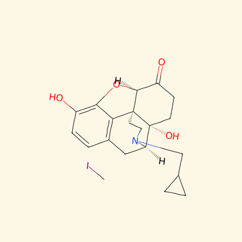 CI.O=C1CC[C@@]2(O)[C@H]3Cc4ccc(O)c5c4[C@@]2(CCN3CC2CC2)[C@H]1O5